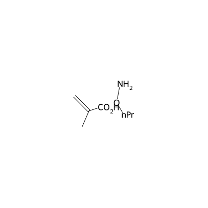 C=C(C)C(=O)O.CCCON